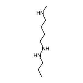 CCCNNCCCCNC